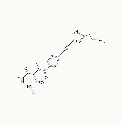 CNC(=O)C(C(=O)NO)N(C)C(=O)c1ccc(C#Cc2cnn(CCOC)c2)cc1